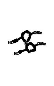 C#Cc1ccc(OC)cn1.C#Cc1ccc(OC)cn1